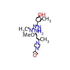 C=C/N=C(\N=C(/N)C1C=C(C)C(O)=CC1)N/C(=C/C=C(\C)N1CCN(C2COC2)CC1)OC